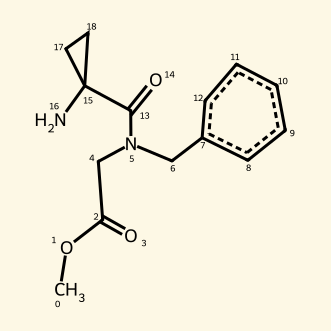 COC(=O)CN(Cc1ccccc1)C(=O)C1(N)CC1